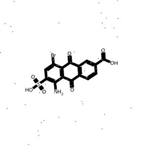 Nc1c(S(=O)(=O)O)cc(Br)c2c1C(=O)c1ccc(C(=O)O)cc1C2=O